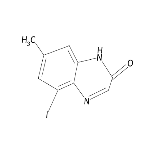 Cc1cc(I)c2ncc(=O)[nH]c2c1